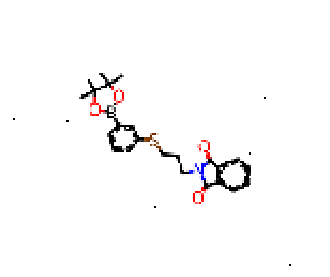 CC1(C)OB(c2cccc(SCCCN3C(=O)c4ccccc4C3=O)c2)OC1(C)C